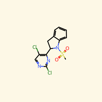 CS(=O)(=O)N1c2ccccc2CC1c1nc(Cl)ncc1Cl